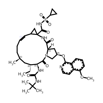 CC[C@@H]1C[C@@H](C)CC/C=C\C2CC2(C(=O)NS(=O)(=O)C2CC2)NC(=O)[C@@H]2C[C@@H](Oc3nccc4c(OC)cccc34)CN2C(=O)[C@H]1NC(=O)NC(C)(C)C